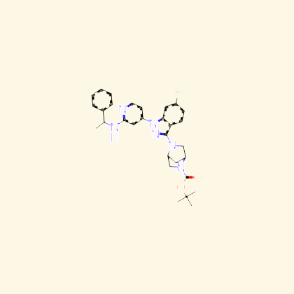 CC(Nc1cc(-n2nc(N3CC4CC3CN4C(=O)OC(C)(C)C)c3ccc(F)cc32)ccn1)c1ccccc1